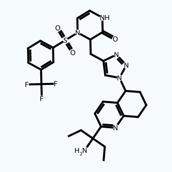 CCC(N)(CC)c1ccc2c(n1)CCCC2n1cc(CC2C(=O)NC=CN2S(=O)(=O)c2cccc(C(F)(F)F)c2)nn1